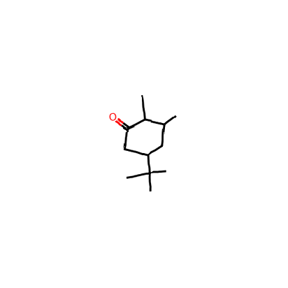 CC1CC(C(C)(C)C)CC(=O)C1C